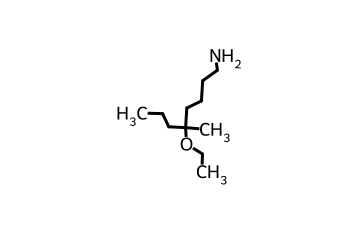 CCCC(C)(CCCCN)OCC